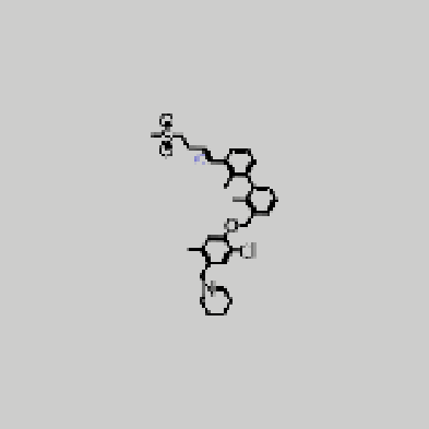 Cc1cc(OCc2cccc(-c3cccc(/C=C/CCS(C)(=O)=O)c3C)c2C)c(Cl)cc1CN1CCCCC1